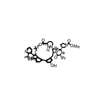 CCn1c(-c2cccnc2[C@H](C)OC)c2c3cc(ccc31)-c1cc(O)cc(c1)C[C@H](NC(=O)[C@H](C(C)C)N(C)C(=O)[C@H]1CCN(C(=O)OC)C1)C(=O)N1CCC[C@H](N1)C(=O)OCC(C)(C)C2